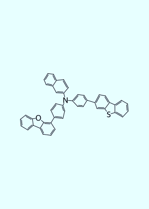 c1ccc2cc(N(c3ccc(-c4ccc5c(c4)sc4ccccc45)cc3)c3ccc(-c4cccc5c4oc4ccccc45)cc3)ccc2c1